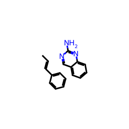 CC=Cc1ccccc1.Nc1ncc2ccccc2n1